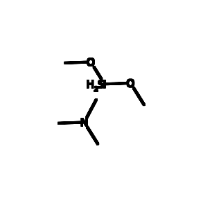 CN(C)C.CO[SiH2]OC